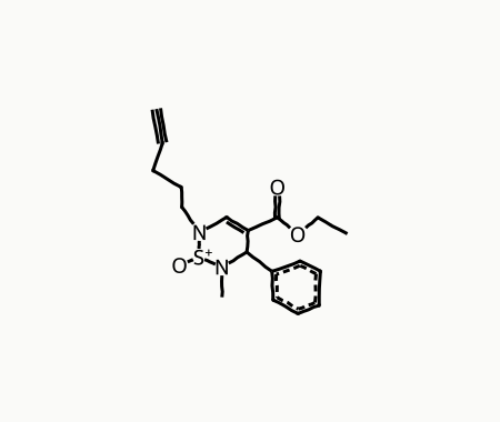 C#CCCCN1C=C(C(=O)OCC)C(c2ccccc2)N(C)[S+]1[O-]